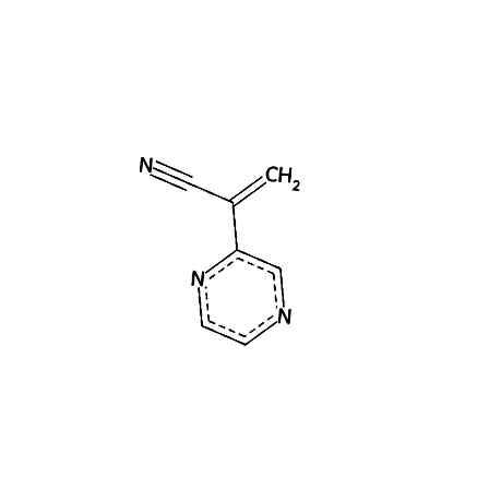 C=C(C#N)c1cnccn1